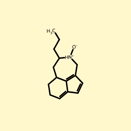 CCCC1CC2CCC=C3C=CC(=C32)C[NH+]1[O-]